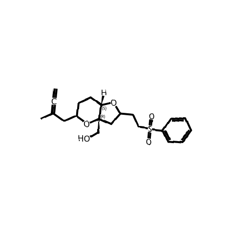 C=C=C(C)CC1CC[C@@H]2OC(CCS(=O)(=O)c3ccccc3)C[C@]2(CO)O1